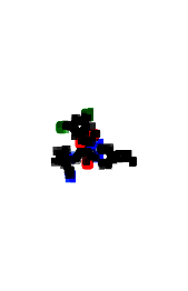 CC1CCN(C(=O)C(CCn2cccc2C#N)NS(=O)(=O)c2cc(Cl)cc(Cl)c2)CC1